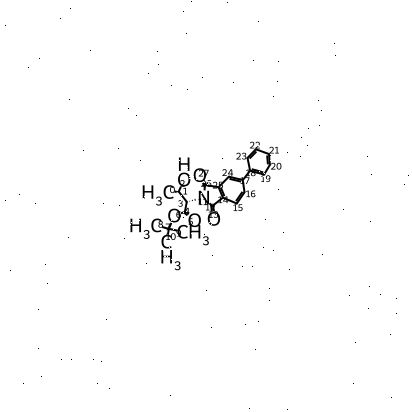 C[C@@H](O)[C@@H](C(=O)OC(C)(C)C)N1C(=O)c2ccc(-c3ccccc3)cc2C1=O